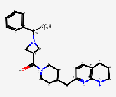 O=C(O)[C@H](c1ccccc1)N1CC(C(=O)N2CCC(Cc3ccc4c(n3)NCCC4)CC2)C1